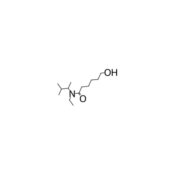 CCN(C(=O)CCCCCO)C(C)C(C)C